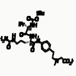 CC(C)[C@H](NC(=O)OC(C)(C)C)C(=O)N[C@@H](CCCNC(N)=O)C(=O)N(C)c1ccc(CCN(C)CC(=O)O)cc1